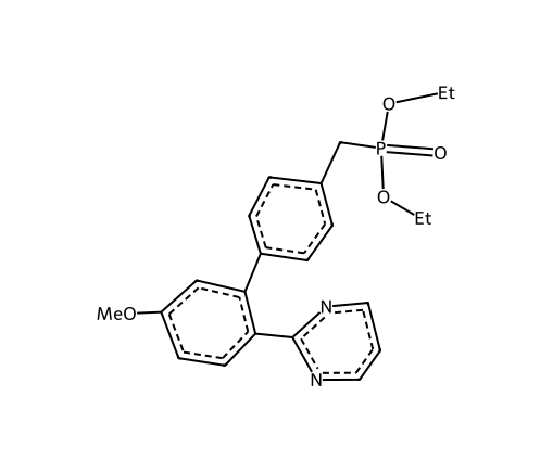 CCOP(=O)(Cc1ccc(-c2cc(OC)ccc2-c2ncccn2)cc1)OCC